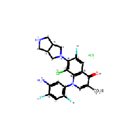 Cl.Nc1cc(-n2cc(C(=O)O)c(=O)c3cc(F)c(N4CC5CNCC5C4)c(Cl)c32)c(F)cc1F